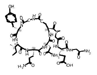 CC[C@H](C)[C@@H]1NC(=O)[C@H](Cc2ccc(O)cc2)NC(=O)CNC(=O)CC[C@@H](C(=O)N(C)CC(=O)N[C@@H](CCC(=O)O)C(=O)NCC(N)=O)NC(=O)[C@H](CC(N)=O)NC(=O)[C@H](CCC(N)=O)NC1=O